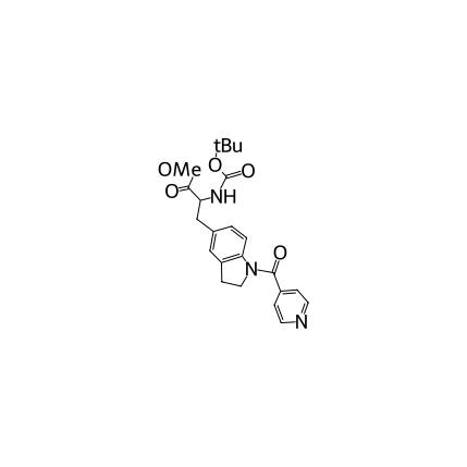 COC(=O)C(Cc1ccc2c(c1)CCN2C(=O)c1ccncc1)NC(=O)OC(C)(C)C